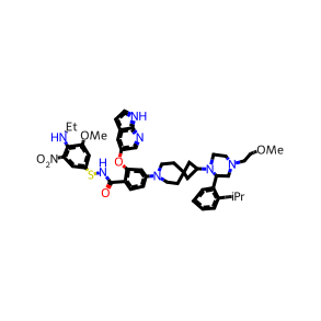 CCNc1c(OC)cc(SNC(=O)c2ccc(N3CCC4(CC3)CC(N3CCN(CCOC)CC3c3ccccc3C(C)C)C4)cc2Oc2cnc3[nH]ccc3c2)cc1[N+](=O)[O-]